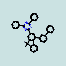 CC1(C)c2ccccc2-c2c(-c3cccc(-c4ccccc4)c3)cc(-c3nc(-c4ccccc4)nc(-c4ccccc4)n3)cc21